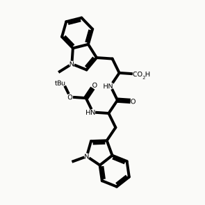 Cn1cc(CC(NC(=O)C(Cc2cn(C)c3ccccc23)NC(=O)OC(C)(C)C)C(=O)O)c2ccccc21